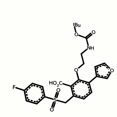 CC(C)(C)OC(=O)NCCOc1c(-c2ccoc2)ccc(CS(=O)(=O)c2ccc(F)cc2)c1C(=O)O